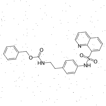 O=C(NCCc1ccc(NS(=O)(=O)c2cccc3cccnc23)cc1)OCc1ccccc1